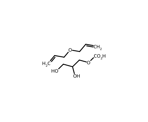 C=CCOCC=C.O=C(O)OCC(O)CO